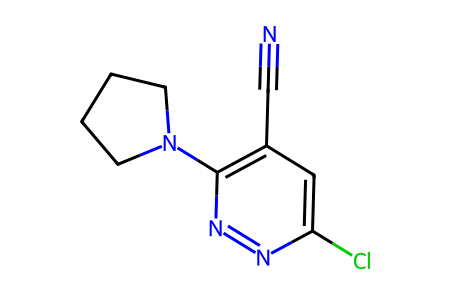 N#Cc1cc(Cl)nnc1N1CCCC1